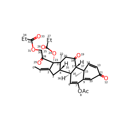 CC=C1C[C@H]2[C@@H]3C=C(OC(C)=O)C4=CC(=O)C=C[C@]4(C)[C@H]3C(=O)C[C@]2(C)[C@]1(OC(=O)CC)C(=O)COC(=O)CC